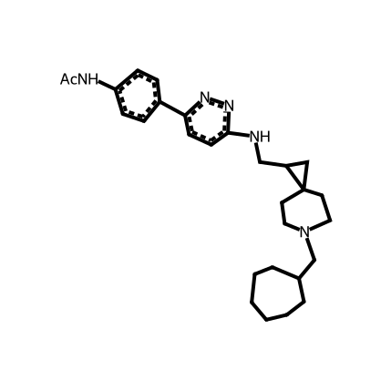 CC(=O)Nc1ccc(-c2ccc(NCC3CC34CCN(CC3CCCCCC3)CC4)nn2)cc1